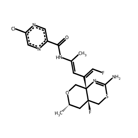 C/C(=C\C(=C\F)[C@]12CO[C@@H](C)C[C@@]1(F)CSC(N)=N2)NC(=O)c1cnc(Cl)cn1